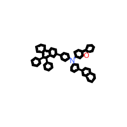 c1ccc(-c2c(-c3ccccc3)c3cc(-c4ccc(N(c5cccc(-c6ccc7ccccc7c6)c5)c5ccc6c(c5)oc5ccccc56)cc4)ccc3c3ccccc23)cc1